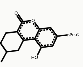 CCCCCc1cc(O)c2c3c(c(=O)oc2c1)CCC(C)C3